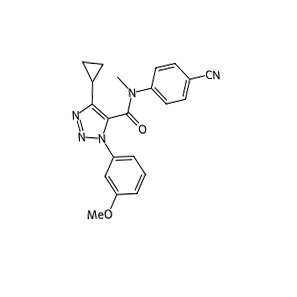 COc1cccc(-n2nnc(C3CC3)c2C(=O)N(C)c2ccc(C#N)cc2)c1